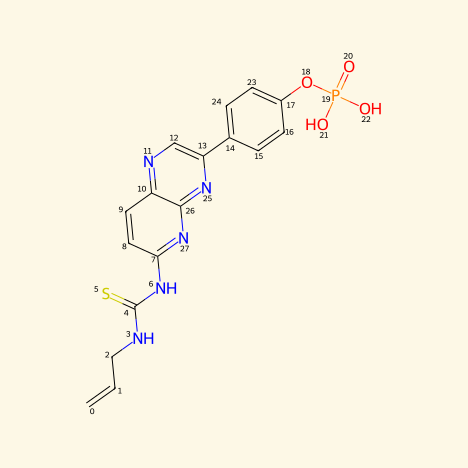 C=CCNC(=S)Nc1ccc2ncc(-c3ccc(OP(=O)(O)O)cc3)nc2n1